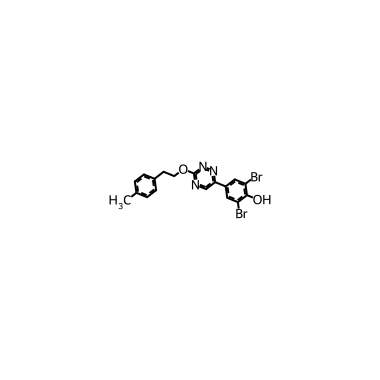 Cc1ccc(CCOc2ncc(-c3cc(Br)c(O)c(Br)c3)nn2)cc1